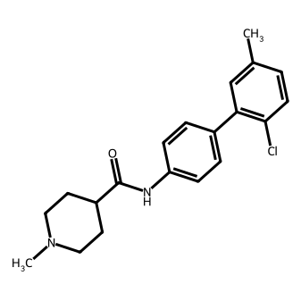 Cc1ccc(Cl)c(-c2ccc(NC(=O)C3CCN(C)CC3)cc2)c1